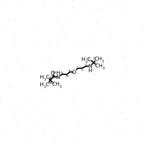 CC(C)(C)NCCCOCCCNC(=O)C(C)(C)C